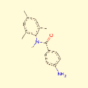 Cc1cc(C)c(N(C)C(=O)c2ccc(N)cc2)c(C)c1